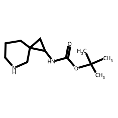 CC(C)(C)OC(=O)NC1CC12CCCNC2